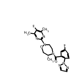 Cc1nc(N2CCN(C(=O)c3cc(F)ccc3-n3nccn3)[C@H](C)CO2)nc(C)c1F